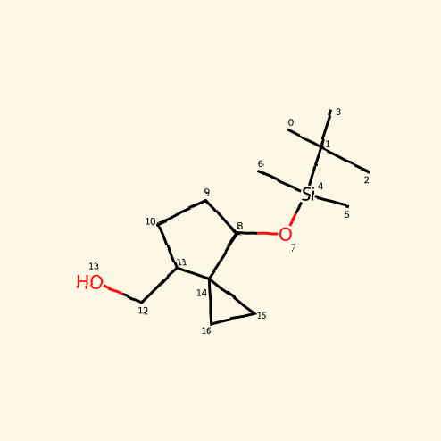 CC(C)(C)[Si](C)(C)OC1CCC(CO)C12CC2